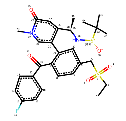 CCS(=O)(=O)Cc1ccc(C(=O)c2ccc(F)cc2)c(-c2cn(C)c(=O)cc2[C@@H](C)N[S@@+]([O-])C(C)(C)C)c1